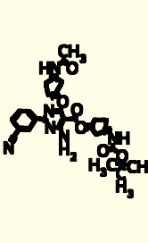 CC(=O)N[C@H]1CC[C@@H](Oc2nc(-c3cccc(C#N)c3)nc(N)c2C(=O)O[C@@H]2CC[C@H](NC(=O)OC(C)(C)C)C2)C1